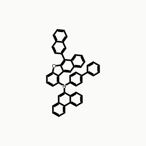 c1ccc(-c2ccc(N(c3cc4ccccc4c4ccccc34)c3cccc4oc5c(-c6ccc7ccccc7c6)c6ccccc6cc5c34)cc2)cc1